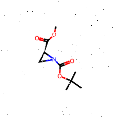 COC(=O)[C@@H]1CN1C(=O)OC(C)(C)C